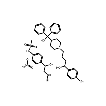 CC(C)(C)c1ccc(C(O)CCCN2CCC(C(O)(c3ccccc3)c3ccccc3)CC2)cc1.CC(C)NCC(O)c1ccc(NS(C)(=O)=O)cc1.O=[As][O-].[Na+]